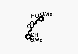 COc1cccc(C=CC(=O)CC(=O)C=Cc2cccc(OC)c2O)c1O